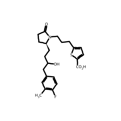 Cc1cc(CC(O)CC[C@H]2CCC(=O)N2CCCc2ccc(C(=O)O)s2)ccc1F